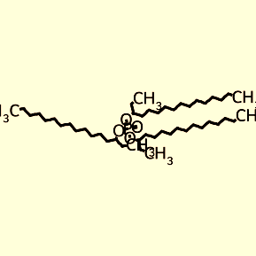 CCCCCCCCCCCCCC(CC)OP(=O)(OC(CC)CCCCCCCCCCCCC)OC(CC)CCCCCCCCCCCCC